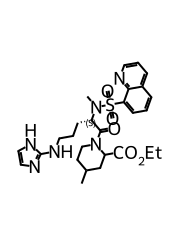 CCOC(=O)C1CC(C)CCN1C(=O)[C@H](CCCNc1ncc[nH]1)N(C)S(=O)(=O)c1cccc2cccnc12